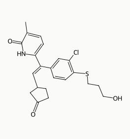 Cc1ccc(C(=CC2CCC(=O)C2)c2ccc(SCCCO)c(Cl)c2)[nH]c1=O